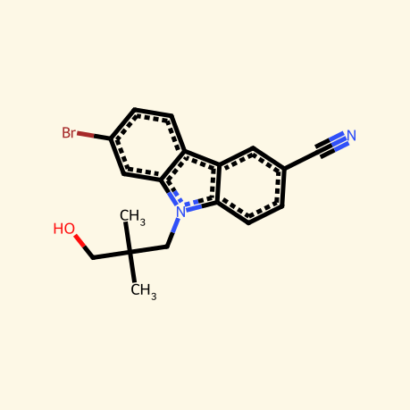 CC(C)(CO)Cn1c2ccc(C#N)cc2c2ccc(Br)cc21